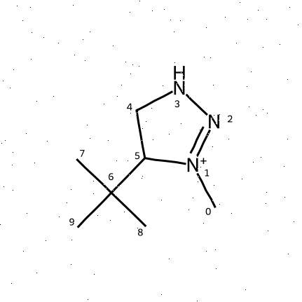 C[N+]1=NNCC1C(C)(C)C